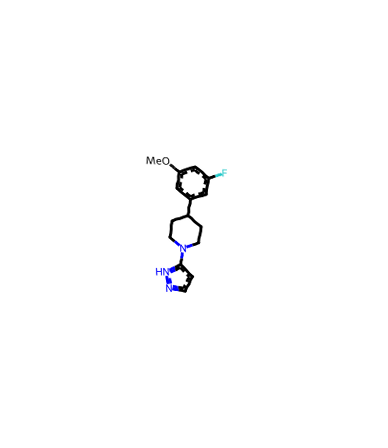 COc1cc(F)cc(C2CCN(c3ccn[nH]3)CC2)c1